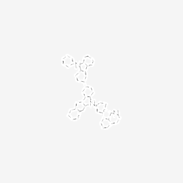 c1ccc(-n2c3ccccc3c3cc(-c4ccc5c(c4)c4cc6ccccc6cc4n5-c4ccc5c(c4)-c4cccc6ccnc-5c46)ccc32)cc1